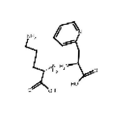 NCCC[C@H](N)C(=O)O.N[C@@H](Cc1ccccn1)C(=O)O